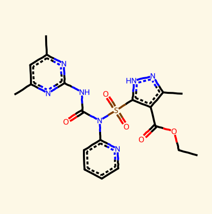 CCOC(=O)c1c(C)n[nH]c1S(=O)(=O)N(C(=O)Nc1nc(C)cc(C)n1)c1ccccn1